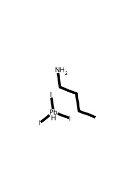 CCCCN.[I][PbH]([I])[I]